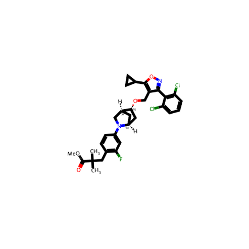 COC(=O)C(C)(C)Cc1ccc(N2C[C@@H]3C[C@H]2C[C@H]3OCc2c(-c3c(Cl)cccc3Cl)noc2C2CC2)cc1F